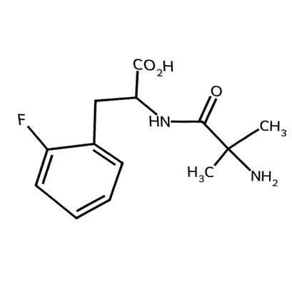 CC(C)(N)C(=O)NC(Cc1ccccc1F)C(=O)O